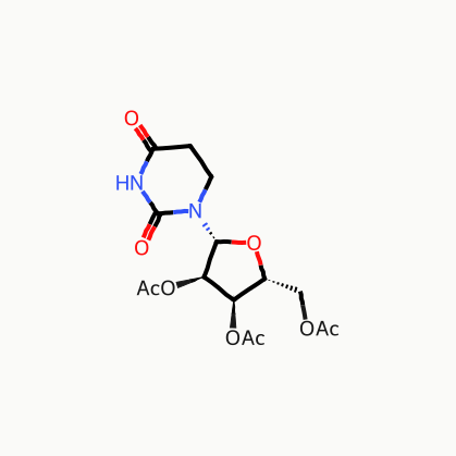 CC(=O)OC[C@H]1O[C@@H](N2CCC(=O)NC2=O)[C@H](OC(C)=O)[C@@H]1OC(C)=O